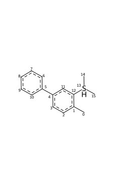 Cc1ccc(-c2ccccc2)cc1[SH](C)C